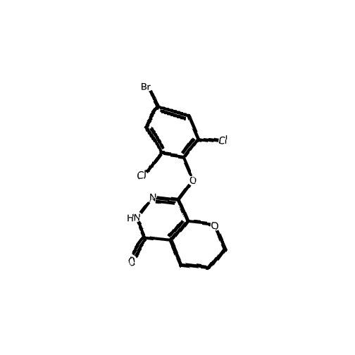 O=c1[nH]nc(Oc2c(Cl)cc(Br)cc2Cl)c2c1CCCO2